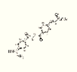 CC(=O)OC(=O)COc1ccc(C(=O)CCC(=O)c2ccc(C(=N)N)cc2)cc1